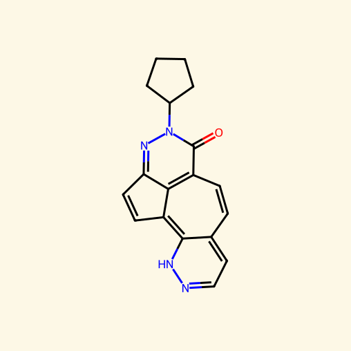 O=c1c2ccc3c(c4ccc(nn1C1CCCC1)c2-4)NN=CC=3